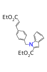 CCOC(=O)C=Cc1ccc(Cn2c(C(=O)OCC)cc3ccccc32)cc1